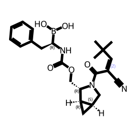 CC(C)(C)/C=C(/C#N)C(=O)N1C[C@H]2C[C@H]2[C@@H]1COC(=O)N[C@@H](Cc1ccccc1)B(O)O